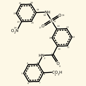 O=C(Nc1ccccc1C(=O)O)c1cccc(S(=O)(=O)Nc2cccc([N+](=O)[O-])c2)c1